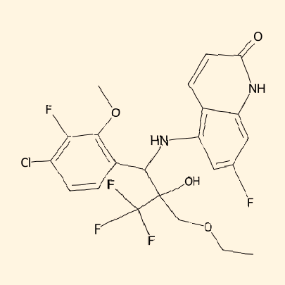 CCOCC(O)(C(Nc1cc(F)cc2[nH]c(=O)ccc12)c1ccc(Cl)c(F)c1OC)C(F)(F)F